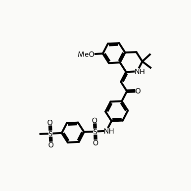 COc1ccc2c(c1)/C(=C/C(=O)c1ccc(NS(=O)(=O)c3ccc(S(C)(=O)=O)cc3)cc1)NC(C)(C)C2